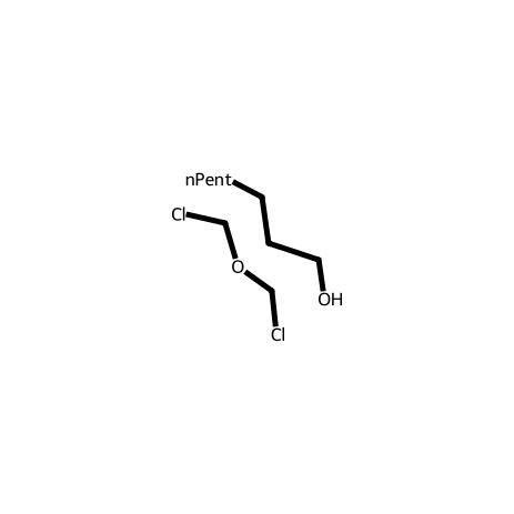 CCCCCCCCO.ClCOCCl